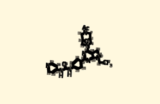 CC(=O)N1CC2CN(c3nc(-c4ccc(NC(=O)Nc5ccncc5)cc4)nc4c3cnn4CC(F)(F)F)CC(C1)O2